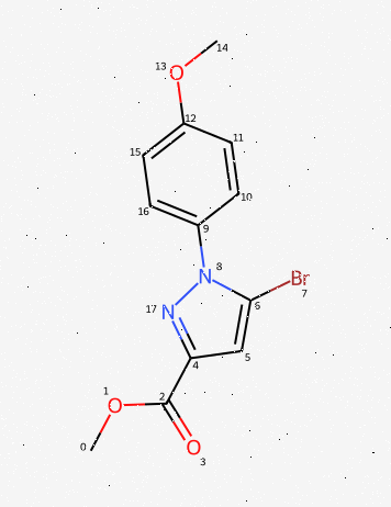 COC(=O)c1cc(Br)n(-c2ccc(OC)cc2)n1